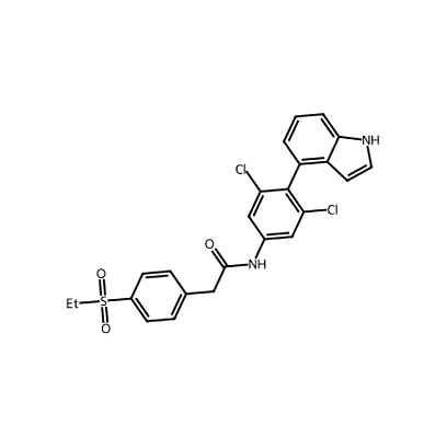 CCS(=O)(=O)c1ccc(CC(=O)Nc2cc(Cl)c(-c3cccc4[nH]ccc34)c(Cl)c2)cc1